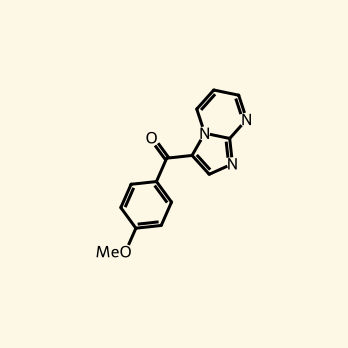 COc1ccc(C(=O)c2cnc3ncccn23)cc1